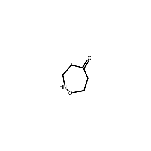 O=C1[CH]CNOCC1